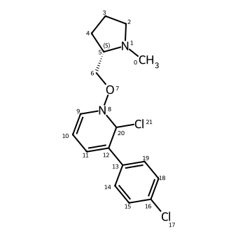 CN1CCC[C@H]1CON1C=CC=C(c2ccc(Cl)cc2)C1Cl